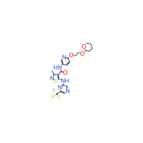 Cc1nsc(Nc2cncc(C(F)(F)F)n2)c1C(=O)Nc1ccc(OCCOC2CCCCO2)nc1